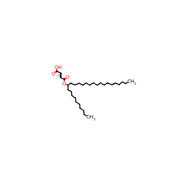 CCCCCCCCCCCCCCCCCC(CCCCCCCCCC)OC(=O)/C=C/C(=O)O